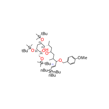 CCC[CH2][Sn](/[CH]=C/C(OCc1ccc(OC)cc1)C(C)CC(O)CC(C)[C@@H]1O[C@H](CO[Si](C)(C)C(C)(C)C)[C@H](O[Si](C)(C)C(C)(C)C)C[C@@H]1O[Si](C)(C)C(C)(C)C)([CH2]CCC)[CH2]CCC